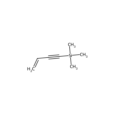 C=CC#C[Si](C)(C)C